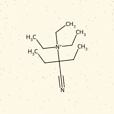 CCC(C#N)(CC)[N+](CC)(CC)CC